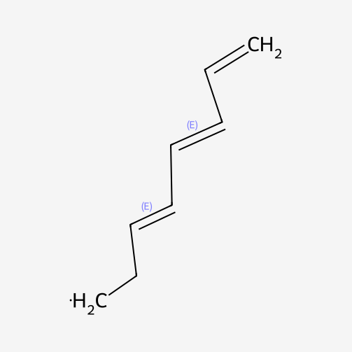 [CH2]C/C=C/C=C/C=C